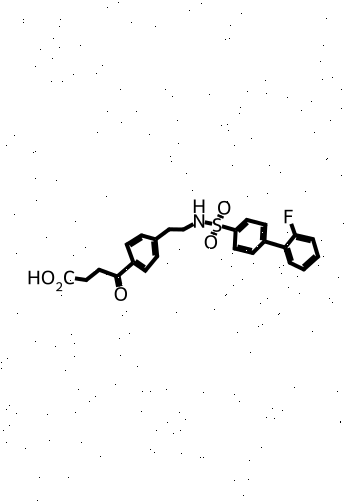 O=C(O)CCC(=O)c1ccc(CCNS(=O)(=O)c2ccc(-c3ccccc3F)cc2)cc1